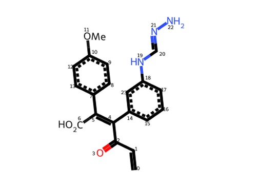 C=CC(=O)C(=C(C(=O)O)c1ccc(OC)cc1)c1cccc(NC=NN)c1